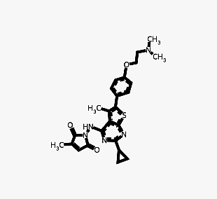 CC1=CC(=O)N(Nc2nc(C3CC3)nc3sc(-c4ccc(OCCN(C)C)cc4)c(C)c23)C1=O